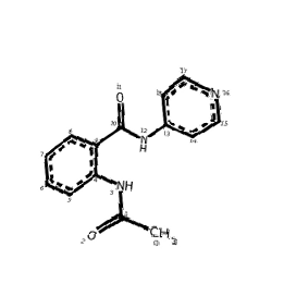 CC(=O)Nc1ccccc1C(=O)Nc1ccncc1